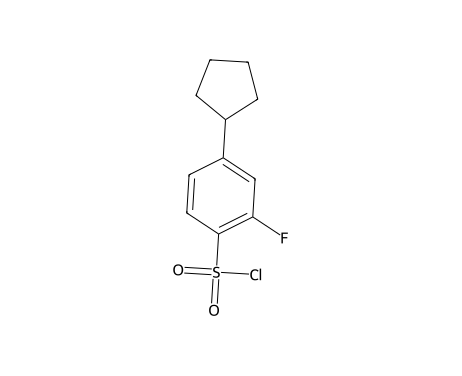 O=S(=O)(Cl)c1ccc(C2CCCC2)cc1F